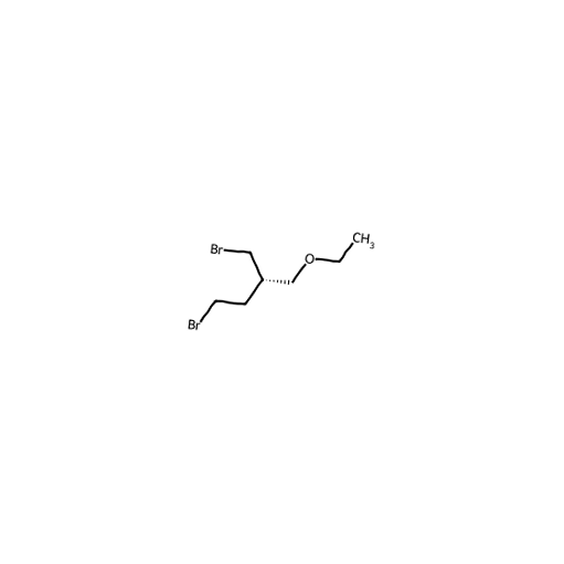 CCOC[C@@H](CBr)CCBr